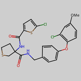 COc1ccc(Oc2ccc(CNC(=O)C3(NC(=O)c4ccc(Cl)s4)CCSC3)cc2)c(Cl)c1